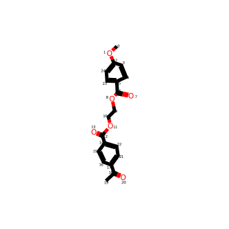 COc1ccc(C(=O)OCCOC(=O)c2ccc(C(C)=O)cc2)cc1